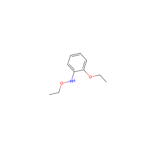 CCONc1ccccc1OCC